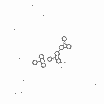 CC(C)c1ccc2c(c1)c1cc(-c3ccc4c(c3)c3ccccc3n4-c3ccccc3)ccc1n2-c1ccc(-c2c3ccccc3c(-c3ccccc3)c3ccccc23)cc1